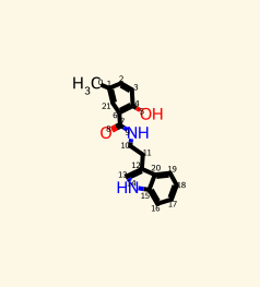 Cc1ccc(O)c(C(=O)NCCc2c[nH]c3ccccc23)c1